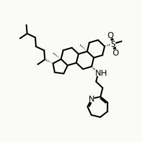 CC(C)CCCC(C)[C@H]1CCC2C3C[C@@H](NCCC4=CCCCC=N4)C4C[C@@H](S(C)(=O)=O)CC[C@]4(C)C3CC[C@@]21C